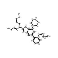 CCC=CC(C/C=C\CC)c1cc2nc(-c3ccccc3/C=N\NF)nc(N3CCOCC3)c2s1